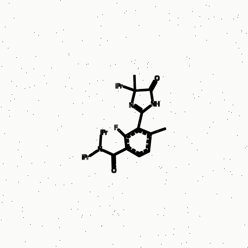 Cc1ccc(C(=O)N(C(C)C)C(C)C)c(F)c1C1=NC(C)(C(C)C)C(=O)N1